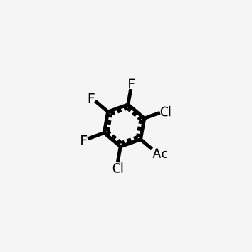 CC(=O)c1c(Cl)c(F)c(F)c(F)c1Cl